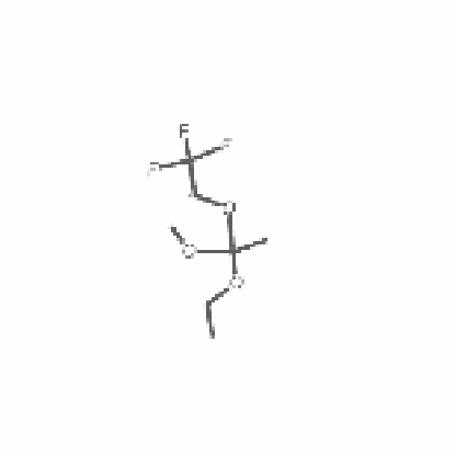 CCOC(C)(OC)O[CH]C(F)(F)F